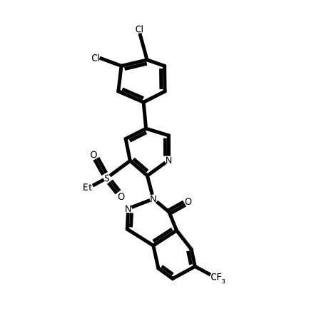 CCS(=O)(=O)c1cc(-c2ccc(Cl)c(Cl)c2)cnc1-n1ncc2ccc(C(F)(F)F)cc2c1=O